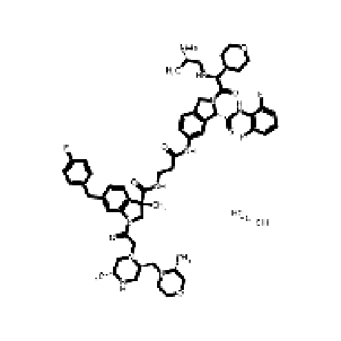 CN[C@@H](C)CN[C@H](C(=O)N1Cc2ccc(NC(=O)CCNC(=O)[C@]3(C)CN(C(=O)CN4C[C@@H](C)NC[C@@H]4CN4CCOC[C@H]4C)c4cc(Cc5ccc(F)cc5)ccc43)cc2[C@H]1C(=O)Nc1c(F)cccc1F)C1CCOCC1.Cl.Cl.Cl